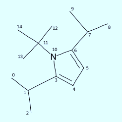 CC(C)c1ccc(C(C)C)n1C(C)(C)C